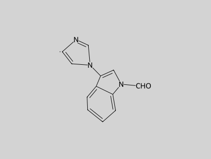 O=Cn1cc(-n2c[c]nc2)c2ccccc21